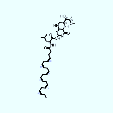 CC/C=C\C/C=C\C/C=C\C/C=C\C/C=C\C/C=C\CCC(=O)N[C@@H](CC(C)C)C(=O)NC1=NC(=O)C2N[C@@H]([C@@H](O)[C@H](C)O)CNC2=N1